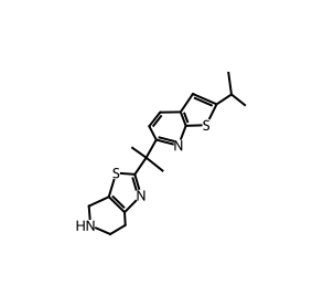 CC(C)c1cc2ccc(C(C)(C)c3nc4c(s3)CNCC4)nc2s1